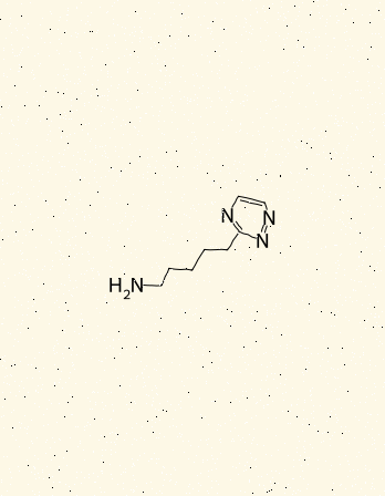 NCCCCCc1nccnn1